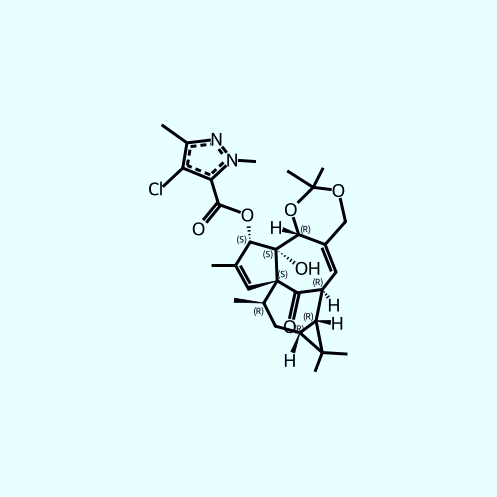 CC1=C[C@]23C(=O)[C@@H](C=C4COC(C)(C)O[C@H]4[C@]2(O)[C@H]1OC(=O)c1c(Cl)c(C)nn1C)[C@H]1[C@@H](C[C@H]3C)C1(C)C